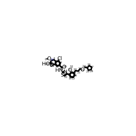 CO/C(=C/c1c(Cl)cc(C(=O)Nc2nc(-c3cccc(CCCOCC4CCCC4)c3OC)cs2)cc1Cl)C(=O)O